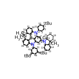 CC(C)(C)c1ccc(N2c3cc(N4c5ccccc5C5(C)CCCCC45C)cc4c3B3c5c2cccc5[Si](C)(C)c2cccc(c23)N4c2cc(C(C)(C)C)cc(C(C)(C)C)c2)cc1